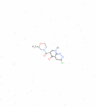 CCn1cc(C(=O)N2CCO[C@H](C)C2)c(=O)c2cc(Cl)nnc21